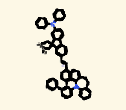 CCC1(CC)c2cc(/C=C/c3ccc(-c4c(-c5ccccc5)cccc4N4c5ccccc5CCc5ccccc54)cc3)ccc2-c2ccc(N(c3ccccc3)c3ccccc3)cc21